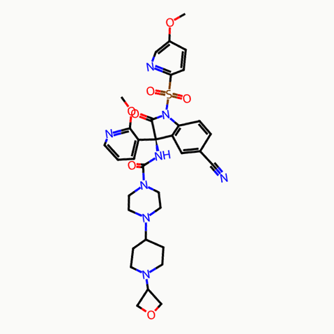 COc1ccc(S(=O)(=O)N2C(=O)[C@@](NC(=O)N3CCN(C4CCN(C5COC5)CC4)CC3)(c3cccnc3OC)c3cc(C#N)ccc32)nc1